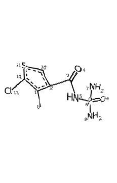 Cc1c(C(=O)NP(N)(N)=O)csc1Cl